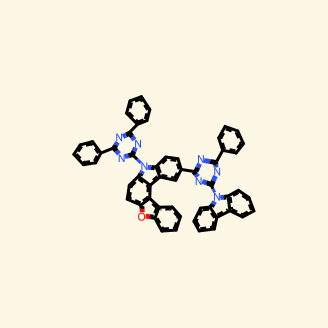 c1ccc(-c2nc(-c3ccc4c(c3)c3c5c(ccc3n4-c3nc(-c4ccccc4)nc(-c4ccccc4)n3)oc3ccccc35)nc(-n3c4ccccc4c4ccccc43)n2)cc1